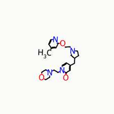 Cc1ccnc(OCCN2CCC(Cc3ccn(CCN4CCOCC4)c(=O)c3)C2)c1